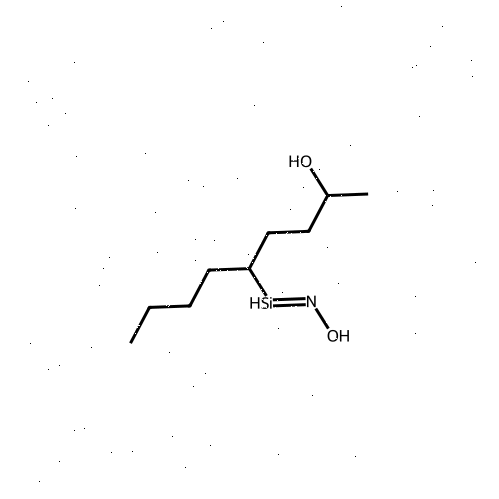 CCCCC(CCC(C)O)[SiH]=NO